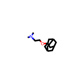 CN(C)CCOC12CC3CC(CC(C3)C1)C2